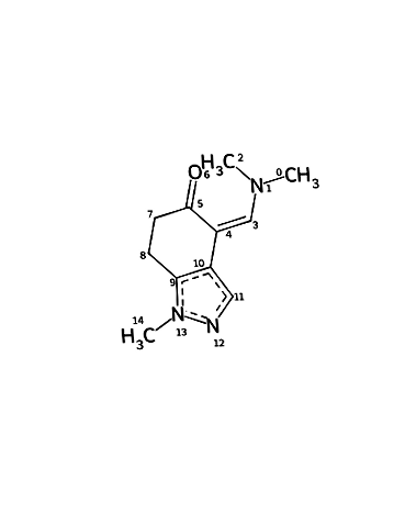 CN(C)C=C1C(=O)CCc2c1cnn2C